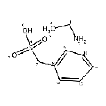 CCN.O=S(=O)(O)Cc1ccccc1